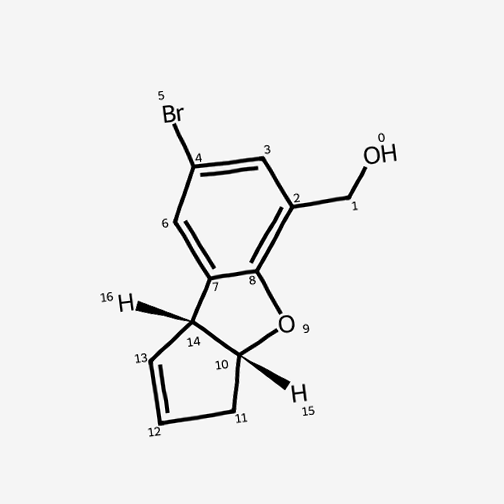 OCc1cc(Br)cc2c1O[C@@H]1CC=C[C@H]21